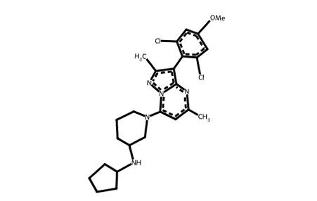 COc1cc(Cl)c(-c2c(C)nn3c(N4CCCC(NC5CCCC5)C4)cc(C)nc23)c(Cl)c1